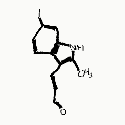 Cc1[nH]c2cc(I)ccc2c1/C=C/C=O